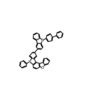 c1ccc(-c2ccc(-n3c4ccccc4c4cc(-c5ccc6c(c5)c5c7c(ccc5n6-c5ccccc5)oc5ccccc57)ccc43)cc2)cc1